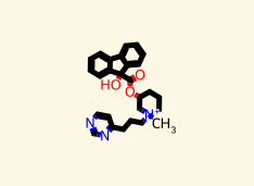 C[N+]1(CCCc2ccncn2)CCCC(OC(=O)C2(O)c3ccccc3-c3ccccc32)C1